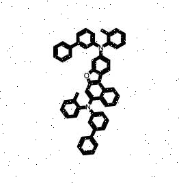 Cc1ccccc1N(c1cccc(-c2ccccc2)c1)c1ccc2c(c1)oc1cc(N(c3cccc(-c4ccccc4)c3)c3ccccc3C)c3ccccc3c12